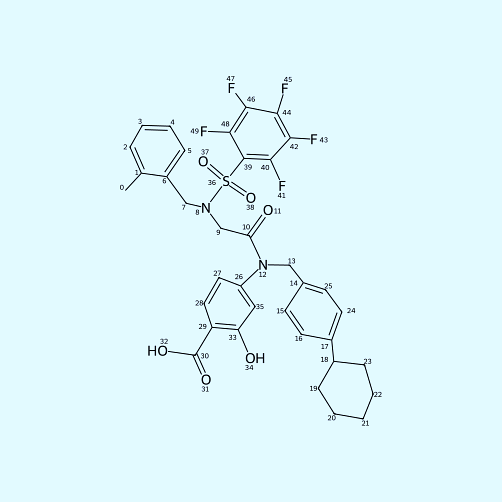 Cc1ccccc1CN(CC(=O)N(Cc1ccc(C2CCCCC2)cc1)c1ccc(C(=O)O)c(O)c1)S(=O)(=O)c1c(F)c(F)c(F)c(F)c1F